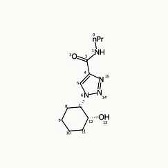 CCCNC(=O)c1cn([C@H]2CCC[CH][C@H]2O)nn1